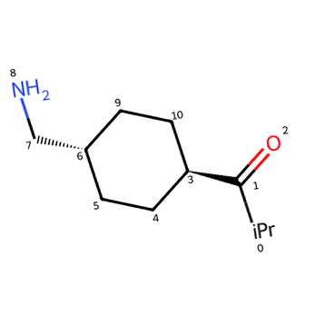 CC(C)C(=O)[C@H]1CC[C@H](CN)CC1